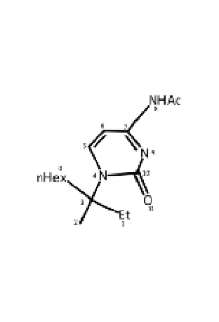 CCCCCCC(C)(CC)n1ccc(NC(C)=O)nc1=O